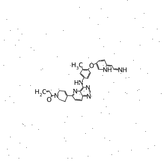 C=CC(=O)N1CC=C(c2ccc3ncnc(Nc4ccc(OC5=CN/C(=C\C=N)C=C5)c(C)c4)c3n2)CC1